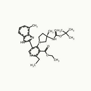 CCOC(=O)c1c(CC)ncc(-c2nc3c(C)cccc3[nH]2)c1N1CC[C@](C)(NC(=O)OC(C)(C)C)C1